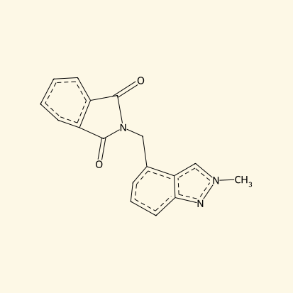 Cn1cc2c(CN3C(=O)c4ccccc4C3=O)cccc2n1